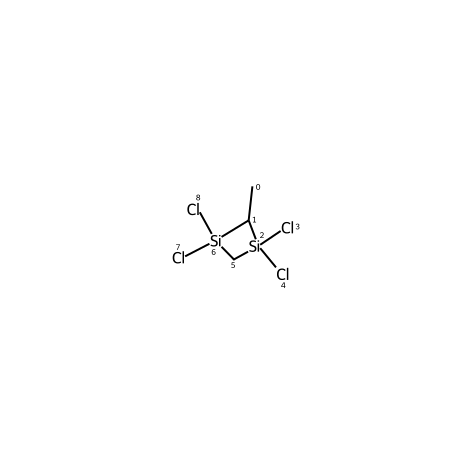 CC1[Si](Cl)(Cl)C[Si]1(Cl)Cl